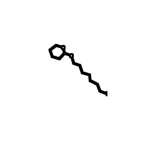 ICCCCCCCOC1CCCCO1